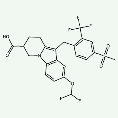 CS(=O)(=O)c1ccc(Cc2c3n(c4ccc(OC(F)F)cc24)CC(C(=O)O)CC3)c(C(F)(F)F)c1